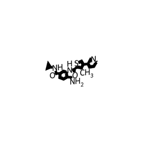 Cc1c(-c2cccnc2)csc1C(=O)Nc1cc(C(=O)NC2CC2)ccc1CN